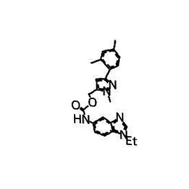 CCn1cnc2cc(NC(=O)OCc3cc(-c4ccc(C)cc4C)nn3C)ccc21